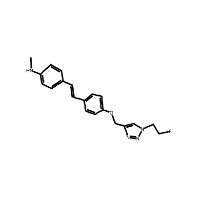 CNc1ccc(C=Cc2ccc(OCc3cn(CCF)nn3)cc2)cc1